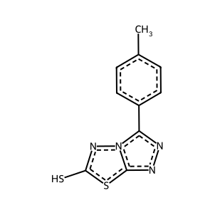 Cc1ccc(-c2nnc3sc(S)nn23)cc1